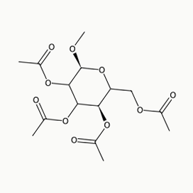 CO[C@H]1OC(COC(C)=O)[C@@H](OC(C)=O)C(OC(C)=O)C1OC(C)=O